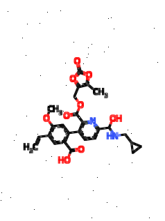 C=Cc1cc(C(=O)O)c(-c2ccc(C(O)NCC3CC3)nc2C(=O)OCc2oc(=O)oc2C)cc1OC